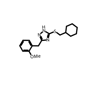 COc1ccccc1Cc1n[nH]c(SCC2CCCCC2)n1